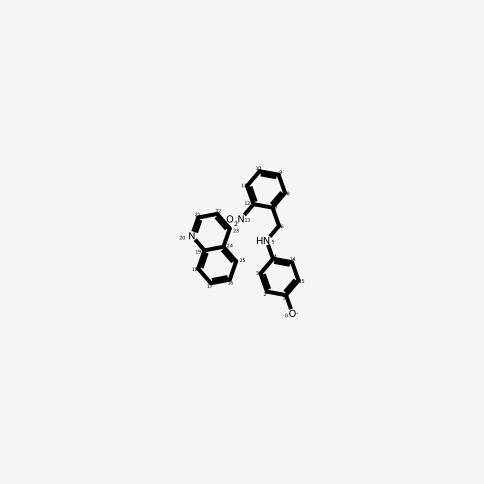 [O]c1ccc(NCc2ccccc2[N+](=O)[O-])cc1.c1ccc2ncccc2c1